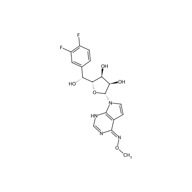 CON=c1nc[nH]c2c1ccn2[C@@H]1O[C@H]([C@H](O)c2ccc(F)c(F)c2)[C@@H](O)[C@H]1O